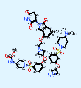 CC(C)(C)N(C(=O)O)C1CCN(S(=O)(=O)c2cccc(OC3CNC3)c2)CC1.CC(C)(C)OC(=O)NC1CCN(S(=O)(=O)c2cccc(OC3CN(CCOc4cccc5c4CN(C4CCC(=O)NC4=O)C5=O)C3)c2)CC1